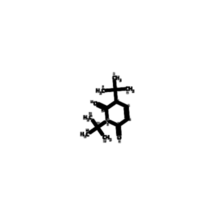 CC(C)(C)C1C=CC(=O)N(C(C)(C)C)C1=O